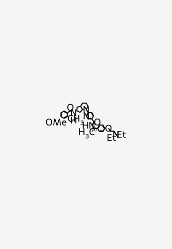 CCN(CC)CCOc1ccc([C@H](C)NC(=O)c2ccc(N3CCCC4CC(NC(=O)c5cccc(OC)c5C)CC43)nc2)cc1